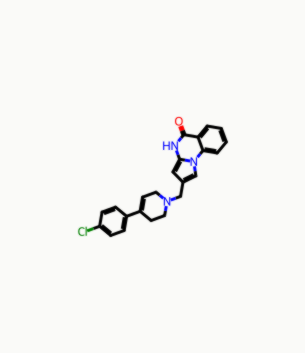 O=c1[nH]c2cc(CN3CC=C(c4ccc(Cl)cc4)CC3)cn2c2ccccc12